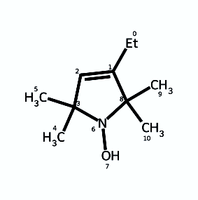 CCC1=CC(C)(C)N(O)C1(C)C